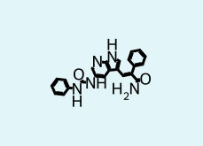 NC(=O)/C(=C/c1c[nH]c2ncc(NC(=O)Nc3ccccc3)cc12)c1ccccc1